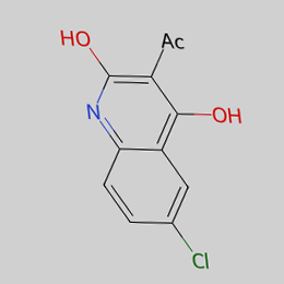 CC(=O)c1c(O)nc2ccc(Cl)cc2c1O